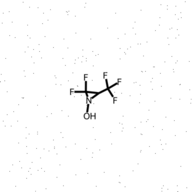 ON1C(C(F)(F)F)C1(F)F